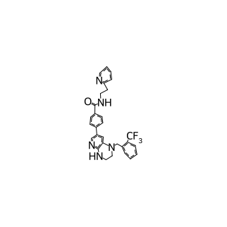 O=C(NCCc1ccccn1)c1ccc(-c2cnc3c(c2)N(Cc2ccccc2C(F)(F)F)CCN3)cc1